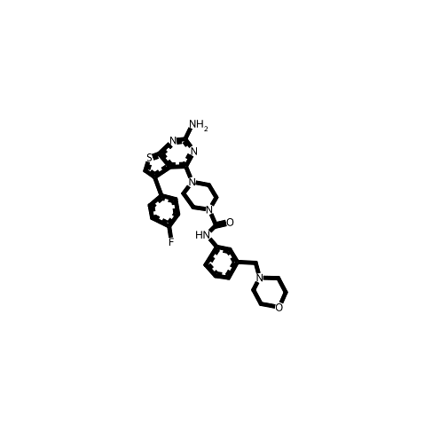 Nc1nc(N2CCN(C(=O)Nc3cccc(CN4CCOCC4)c3)CC2)c2c(-c3ccc(F)cc3)csc2n1